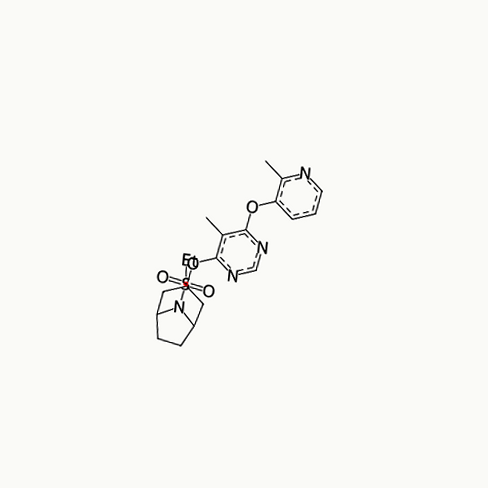 CCS(=O)(=O)N1C2CCC1CC(Oc1ncnc(Oc3cccnc3C)c1C)C2